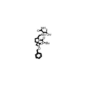 C[C@@H](O)[C@H](NCC1CCC2(CN(OCc3ccccc3)C2=O)N1C(=O)OC(C)(C)C)C(N)=O